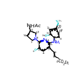 CCOC(=O)CCc1cc(F)c(N2CCC(NC(C)=O)C2)nc1Nc1ccc(F)cc1F